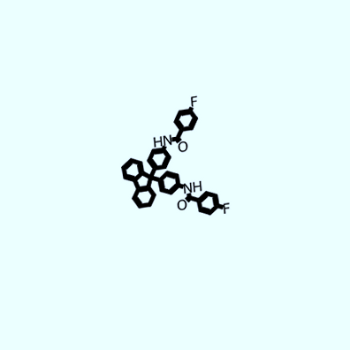 O=C(Nc1ccc(C2(c3ccc(NC(=O)c4ccc(F)cc4)cc3)C3=C(C=CCC3)c3ccccc32)cc1)c1ccc(F)cc1